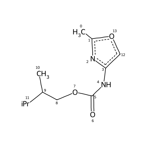 Cc1nc(NC(=O)OCC(C)C(C)C)co1